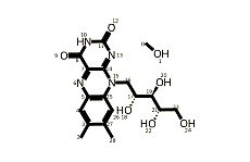 CO.Cc1cc2nc3c(=O)[nH]c(=O)nc-3n(C[C@@H](O)[C@@H](O)[C@@H](O)CO)c2cc1C